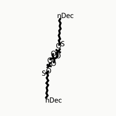 CCCCCCCCCCCCCCCCCCCCC(=S)OCC(C)(C)C1OCC2(CO1)COC(C(C)(C)COC(=S)CCCCCCCCCCCCCCCCCCCC)OC2